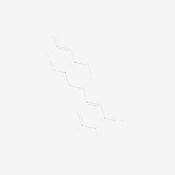 COc1cc2c(cn1)CN(c1cc(F)c(F)c(OC)c1)CC2